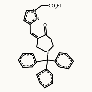 CCOC(=O)Cn1ccc(C=C2CN(C(c3ccccc3)(c3ccccc3)c3ccccc3)CCC2=O)n1